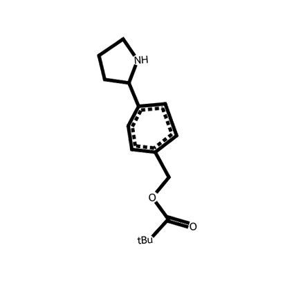 CC(C)(C)C(=O)OCc1ccc(C2CCCN2)cc1